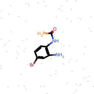 Nc1cc(Br)ccc1NC(=O)P